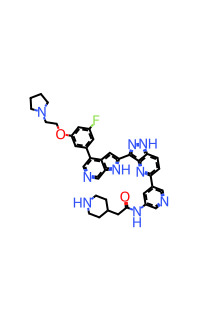 O=C(CC1CCNCC1)Nc1cncc(-c2ccc3[nH]nc(-c4cc5c(-c6cc(F)cc(OCCN7CCCC7)c6)cncc5[nH]4)c3n2)c1